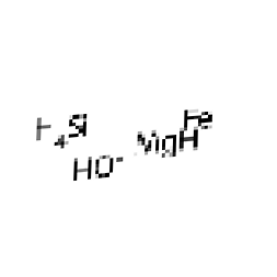 [Fe].[MgH+].[OH-].[SiH4]